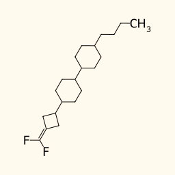 CCCCC1CCC(C2CCC(C3CC(=C(F)F)C3)CC2)CC1